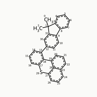 CC1(C)c2ccccc2-c2ccc(-c3cccc4c3-c3cccc5cccc(c35)S4)cc21